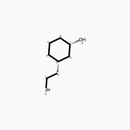 CC(C)CC[C@@H]1CCC[C@H](O)C1